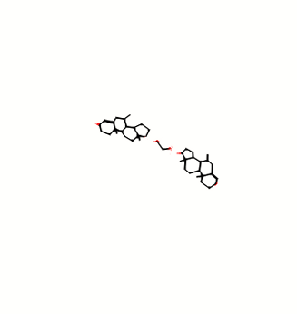 CC1CC2=CC(=O)CCC2(C)C2CCC3(C)C(OC(=O)CC(=O)OC4CCC5C6C(C)CC7=CC(=O)CCC7(C)C6CCC45C)CCC3C12